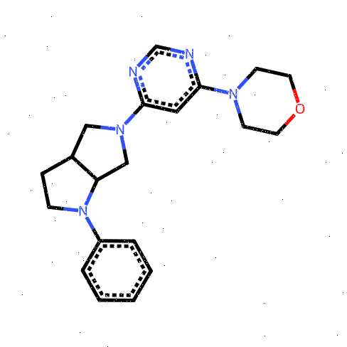 c1ccc(N2CCC3CN(c4cc(N5CCOCC5)ncn4)CC32)cc1